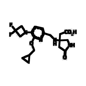 O=C(O)CC1(NCc2ccc(N3CC(F)(F)C3)c(OCC3CC3)n2)CNC(=O)C1